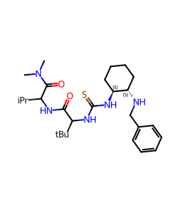 CC(C)C(NC(=O)C(NC(=S)N[C@H]1CCCC[C@@H]1NCc1ccccc1)C(C)(C)C)C(=O)N(C)C